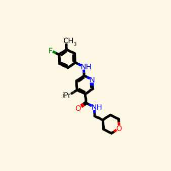 Cc1cc(Nc2cc(C(C)C)c(C(=O)NCC3CCOCC3)cn2)ccc1F